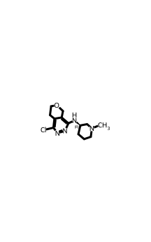 CN1CCC[C@@H](Nc2nnc(Cl)c3c2COCC3)C1